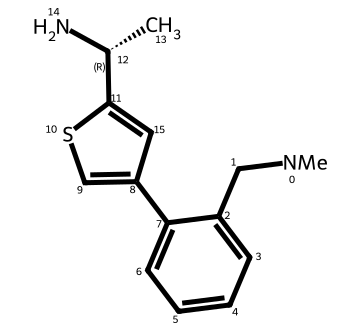 CNCc1ccccc1-c1csc([C@@H](C)N)c1